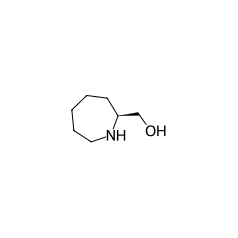 OC[C@@H]1CCCCCN1